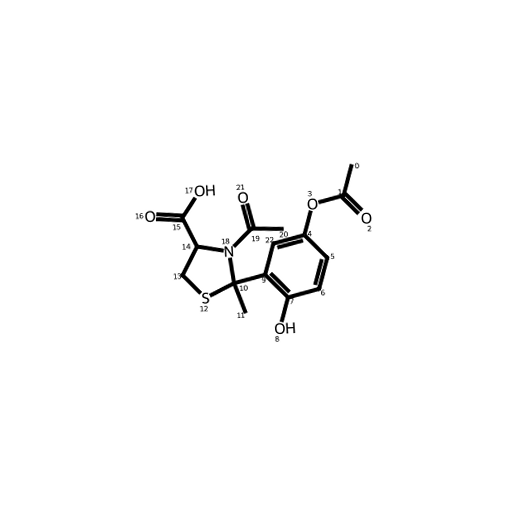 CC(=O)Oc1ccc(O)c(C2(C)SCC(C(=O)O)N2C(C)=O)c1